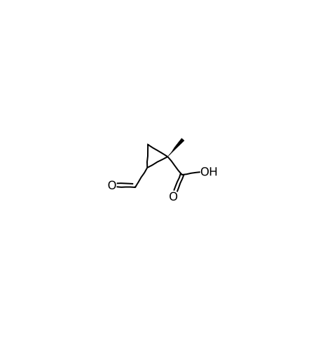 C[C@]1(C(=O)O)CC1C=O